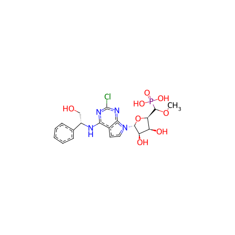 COC([C@@H]1O[C@@H](n2ccc3c(N[C@@H](CO)c4ccccc4)nc(Cl)nc32)[C@H](O)[C@@H]1O)P(=O)(O)O